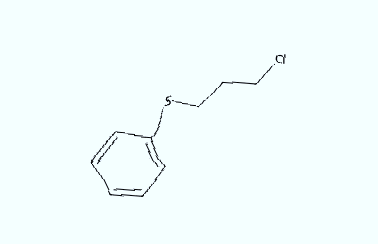 ClCCCSc1ccccc1